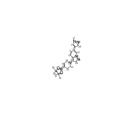 Cn1cc(-c2ccc3c(N4CC=C(B5OC(C)(C)C(C)(C)O5)CC4)cnn3c2)cn1